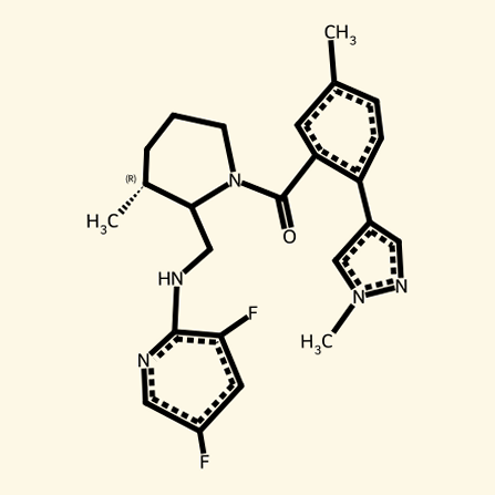 Cc1ccc(-c2cnn(C)c2)c(C(=O)N2CCC[C@@H](C)C2CNc2ncc(F)cc2F)c1